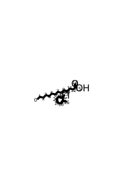 CCCCCCCCCCCCCC(=O)O.Cc1ccccc1Cl